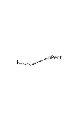 CCCCCC#CC#CC#CCCCCCI